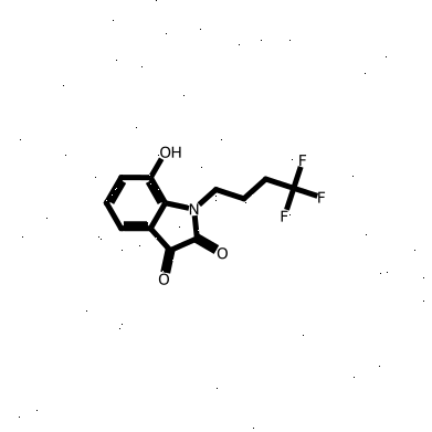 O=C1C(=O)N(CCCC(F)(F)F)c2c(O)cccc21